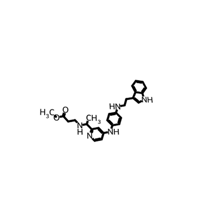 COC(=O)CCNC(C)c1cc(Nc2ccc(NCCc3c[nH]c4ccccc34)cc2)ccn1